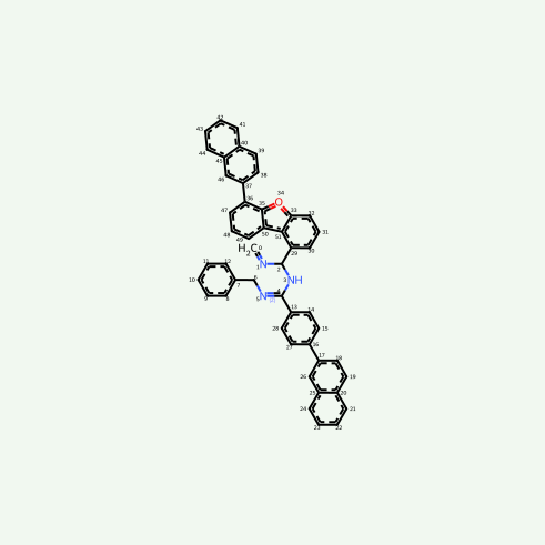 C=NC(N/C(=N\Cc1ccccc1)c1ccc(-c2ccc3ccccc3c2)cc1)c1cccc2oc3c(-c4ccc5ccccc5c4)cccc3c12